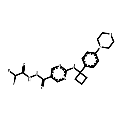 O=C(NNC(=O)C(F)F)c1cnc(NC2(c3ccc(N4CCOCC4)cc3)CCC2)nc1